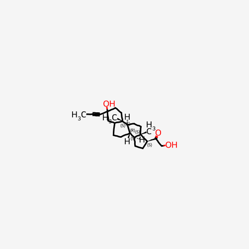 CC#CC1(O)CC[C@@]2(C)C(CC[C@H]3[C@@H]4CC[C@H](C(=O)CO)[C@@]4(C)CC[C@@H]32)C1